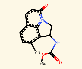 CC(C)(C)OC(=O)NC1Cn2c(=O)ccc3ccc(C#N)c1c32